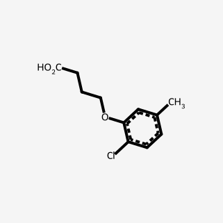 Cc1ccc(Cl)c(OCCCC(=O)O)c1